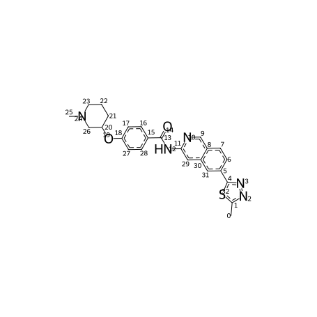 Cc1nnc(-c2ccc3cnc(NC(=O)c4ccc(OC5CCCN(C)C5)cc4)cc3c2)s1